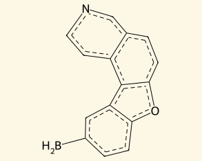 Bc1ccc2oc3ccc4cnccc4c3c2c1